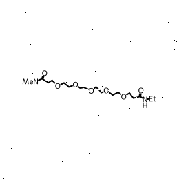 CCNC(=O)CCOCCOCCOCCOCCOCCC(=O)NC